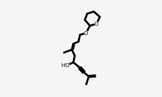 C=C(C)C#CC(O)CC(C)=CCCOC1CCCCO1